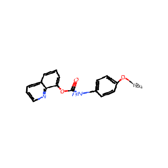 CCCCOc1ccc(NC(=O)Oc2cccc3cccnc23)cc1